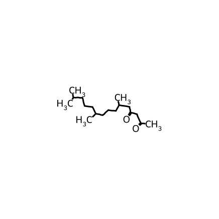 CC(=O)CC(=O)CC(C)CCCC(C)CCCC(C)C